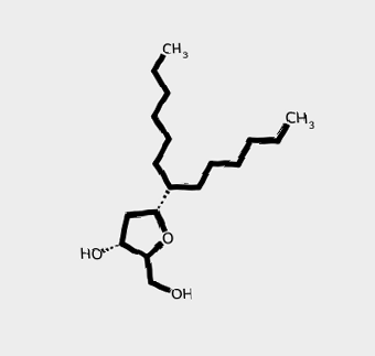 CCCCCCC(CCCCCC)[C@H]1C[C@@H](O)C(CO)O1